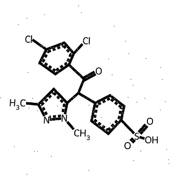 Cc1cc(C(C(=O)c2ccc(Cl)cc2Cl)c2ccc(S(=O)(=O)O)cc2)n(C)n1